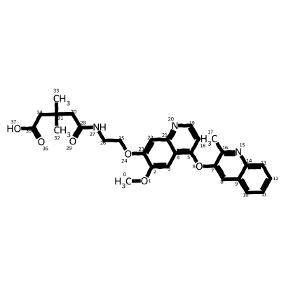 COc1cc2c(Oc3cc4ccccc4nc3C)ccnc2cc1OCCNC(=O)CC(C)(C)CC(=O)O